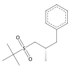 C[C@@H](Cc1ccccc1)CS(=O)(=O)C(C)(C)C